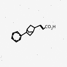 O=C(O)C=CC1CC2CC1CC2c1ccccc1